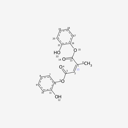 C/C(=C/C(=O)Oc1ccccc1O)C(=O)Oc1ccccc1O